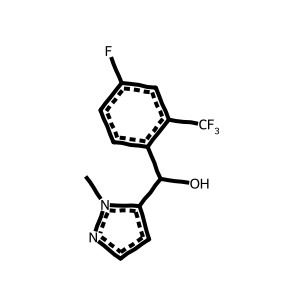 Cn1nccc1C(O)c1ccc(F)cc1C(F)(F)F